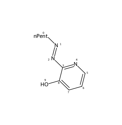 CCCCCN=Nc1ncccc1O